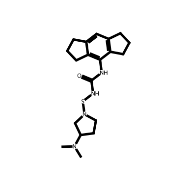 CN(C)C1CCN(SNC(=O)Nc2c3c(cc4c2CCC4)CCC3)C1